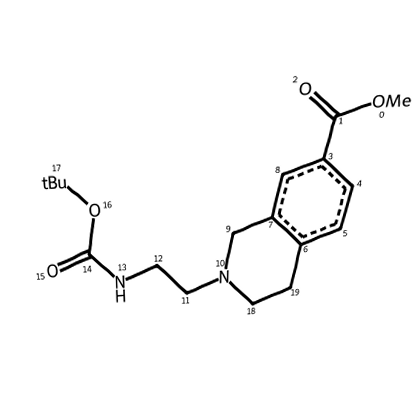 COC(=O)c1ccc2c(c1)CN(CCNC(=O)OC(C)(C)C)CC2